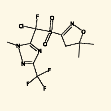 Cn1nc(C(F)(F)F)nc1C(F)(Cl)S(=O)(=O)C1=NOC(C)(C)C1